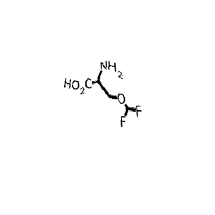 N[C@@H](COC(F)F)C(=O)O